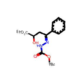 CCOC(=O)C(O)CC(=NNC(=O)OC(C)(C)C)c1ccccc1